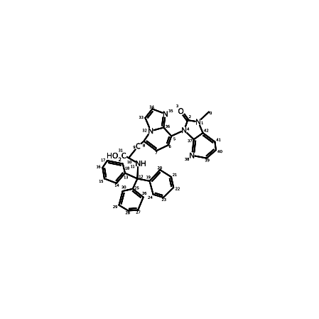 Cn1c(=O)n(-c2ccc(C[C@H](NC(c3ccccc3)(c3ccccc3)c3ccccc3)C(=O)O)n3ccnc23)c2ncccc21